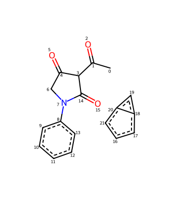 CC(=O)C1C(=O)CN(c2ccccc2)C1=O.c1cc2cc-2c1